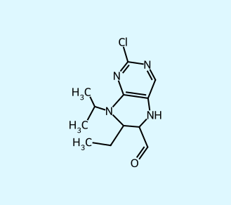 CCC1C(C=O)Nc2cnc(Cl)nc2N1C(C)C